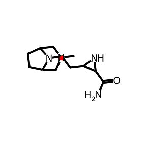 CN1CC2CCC(C1)N2CCC1NC1C(N)=O